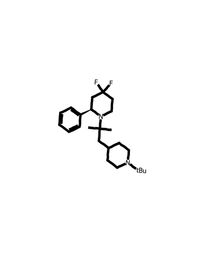 CC(C)(C)N1CCC(CC(C)(C)N2CCC(F)(F)C[C@@H]2c2ccccc2)CC1